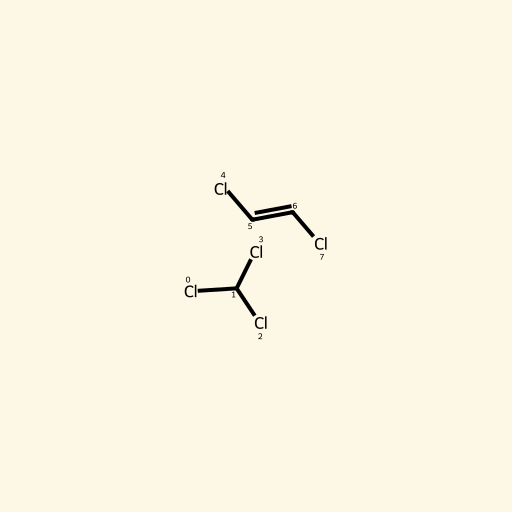 ClC(Cl)Cl.ClC=CCl